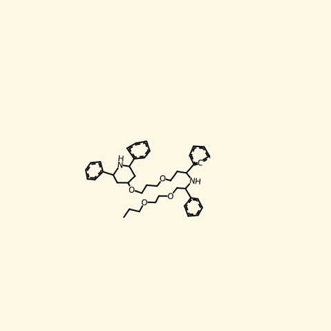 CCCOCCOCC(NC(CCOCCCOC1CC(c2ccccc2)NC(c2ccccc2)C1)c1ccccc1)c1ccccc1